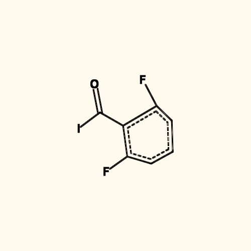 O=C(I)c1c(F)cccc1F